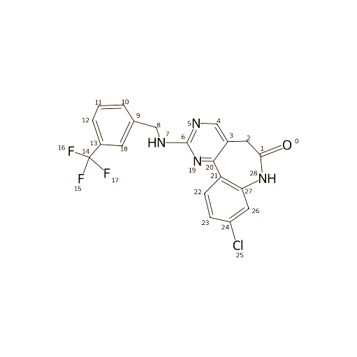 O=C1Cc2cnc(NCc3cccc(C(F)(F)F)c3)nc2-c2ccc(Cl)cc2N1